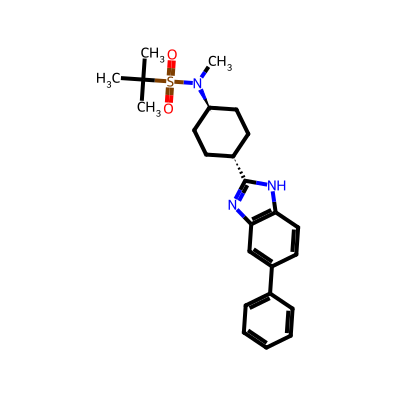 CN([C@H]1CC[C@H](c2nc3cc(-c4ccccc4)ccc3[nH]2)CC1)S(=O)(=O)C(C)(C)C